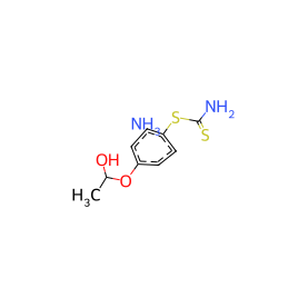 CC(O)Oc1ccc(SC(N)=S)cc1.N